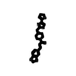 O=C(/C=C/c1ccc2c(c1)OCO2)N1CCN(Cc2nc(-c3ccco3)cs2)CC1